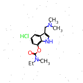 CCN(C)C(=O)Oc1cccc2c(CN(C)C)c[nH]c12.Cl